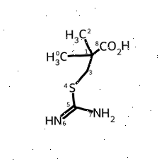 CC(C)(CSC(=N)N)C(=O)O